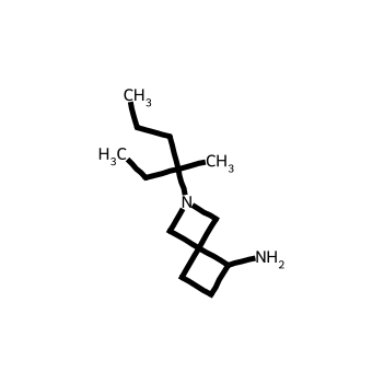 CCCC(C)(CC)N1CC2(CCC2N)C1